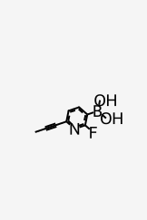 CC#Cc1ccc(B(O)O)c(F)n1